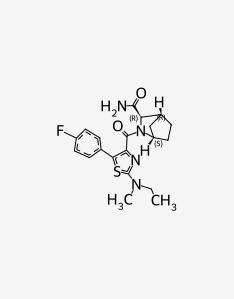 CCN(C)c1nc(C(=O)N2[C@H]3CC[C@H](C3)[C@@H]2C(N)=O)c(-c2ccc(F)cc2)s1